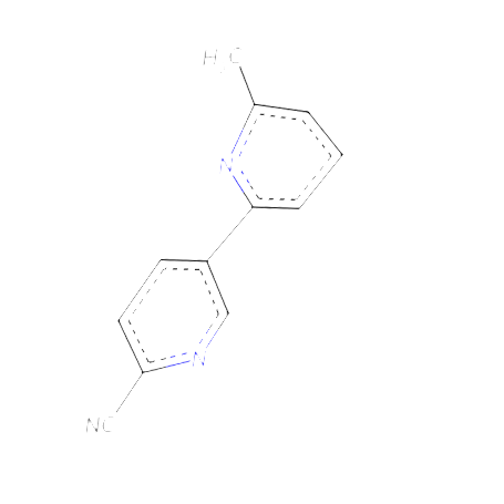 Cc1cccc(-c2ccc(C#N)nc2)n1